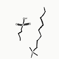 CCCCCCCC[N+](C)(C)C.CCCS(=O)(=O)O